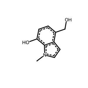 Cn1ccc2c(CO)ccc(O)c21